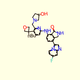 CCCCC1(c2ccc(Nc3ccc(-c4cnc5cc(F)ccn45)c4c3C(=O)NC4)nc2CN2CC[C@H](O)C2)COC1